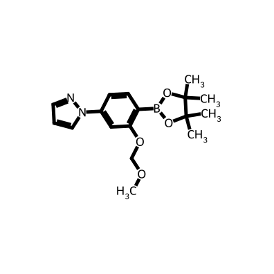 COCOc1cc(-n2cccn2)ccc1B1OC(C)(C)C(C)(C)O1